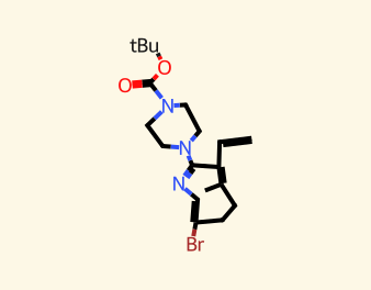 C=CC1=C(/C)CC/C(Br)=C/N=C\1N1CCN(C(=O)OC(C)(C)C)CC1